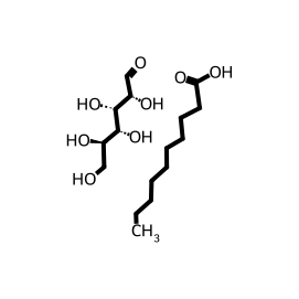 CCCCCCCCCC(=O)O.O=C[C@H](O)[C@@H](O)[C@H](O)[C@H](O)CO